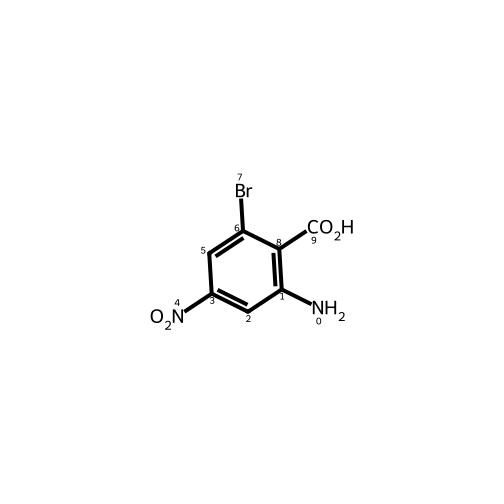 Nc1cc([N+](=O)[O-])cc(Br)c1C(=O)O